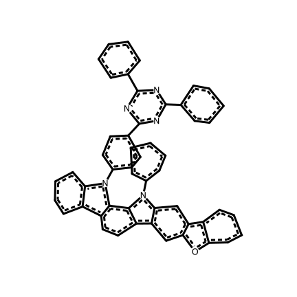 c1ccc(-c2nc(-c3ccccc3)nc(-c3ccc(-n4c5ccccc5c5ccc6c7cc8oc9ccccc9c8cc7n(-c7ccccc7)c6c54)cc3)n2)cc1